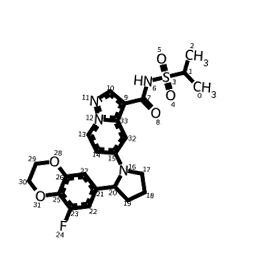 CC(C)S(=O)(=O)NC(=O)c1cnn2ccc(N3CCCC3c3cc(F)c4c(c3)OCCO4)cc12